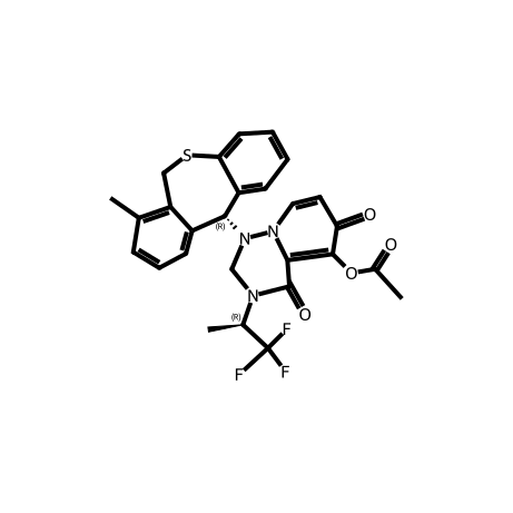 CC(=O)Oc1c2n(ccc1=O)N([C@H]1c3ccccc3SCc3c(C)cccc31)CN([C@H](C)C(F)(F)F)C2=O